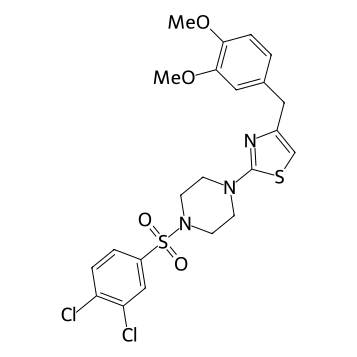 COc1ccc(Cc2csc(N3CCN(S(=O)(=O)c4ccc(Cl)c(Cl)c4)CC3)n2)cc1OC